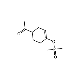 CC(=O)C1CC=C(OP(C)(C)=O)CC1